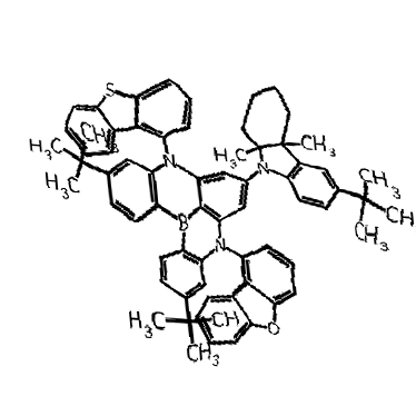 CC(C)(C)c1ccc2c(c1)N(c1cccc3oc4ccccc4c13)c1cc(N3c4ccc(C(C)(C)C)cc4C4(C)CCCCC34C)cc3c1B2c1ccc(C(C)(C)C)cc1N3c1cccc2sc3ccccc3c12